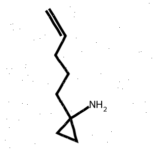 C=CCCCC1(N)CC1